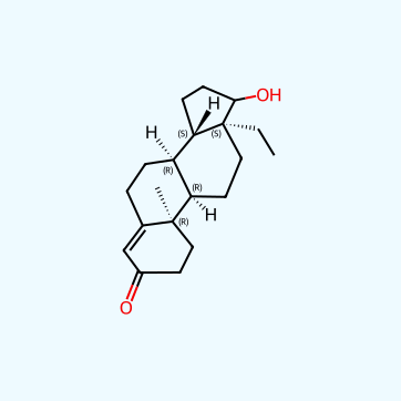 CC[C@]12CC[C@@H]3[C@@H](CCC4=CC(=O)CC[C@@]43C)[C@@H]1CCC2O